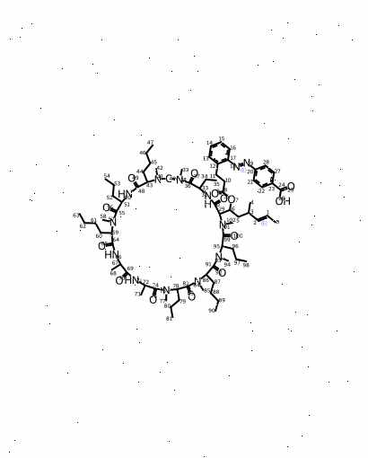 C/C=C/C(C)CC(OC(=O)CCc1ccccc1/N=N/c1ccc(C(=O)O)cc1)C1C(=O)NC(CC)C(=O)N(C)CN(C)C(CCCC)C(=O)NC(CCC)C(=O)N(C)C(CCCC)C(=O)NC(C)C(=O)NC(C)C(=O)N(C)C(CCC)C(=O)N(C)C(CCCC)C(=O)N(C)C(CCC)C(=O)N1C